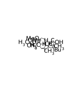 CCC(C)C(CC[C@@H]1C(C)=CC[C@]2(C)C(C3CC[C@@H](C(C)(C)OC)O3)[C@@H](OC)CCC[C@@]12C)C(C)(C)C(C)O